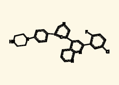 Fc1ccc(Cl)cc1-c1cc(-c2cncc(-c3ccc(N4CCNCC4)cc3)c2)c2cccnc2n1